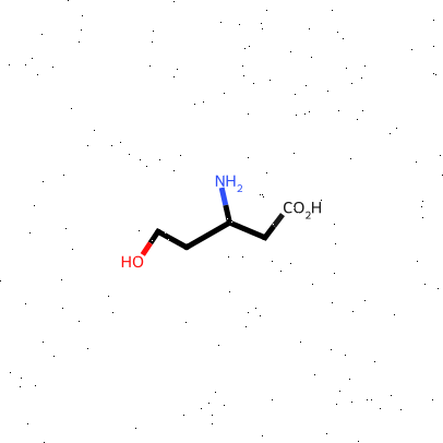 NC(CCO)CC(=O)O